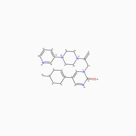 C=C(Cn1cc(C2=CCC(C)CC2)cnc1=O)N1CCN(c2cccnc2)CC1